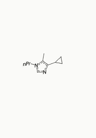 CCCn1cnc(C2CC2)c1C